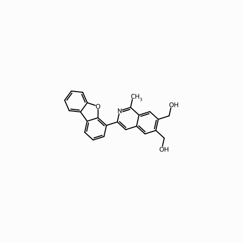 Cc1nc(-c2cccc3c2oc2ccccc23)cc2cc(CO)c(CO)cc12